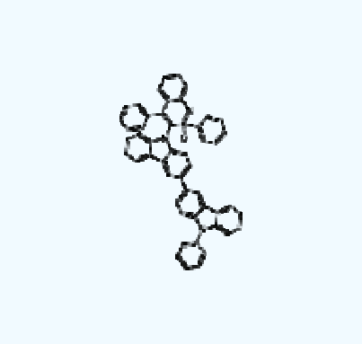 O=S1(c2ccccc2)=Nc2ccccc2C(c2ccccc2)=C1n1c2ccccc2c2cc(-c3ccc4c(c3)c3ccccc3n4-c3ccccc3)ccc21